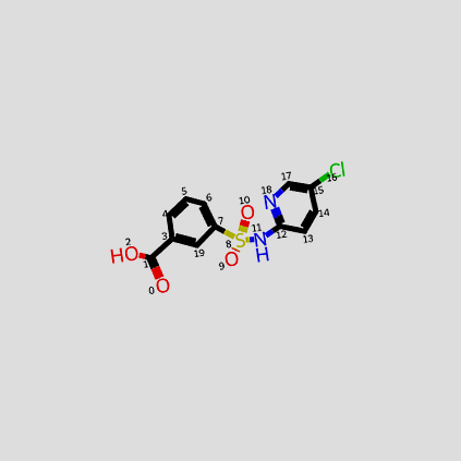 O=C(O)c1cccc(S(=O)(=O)Nc2ccc(Cl)cn2)c1